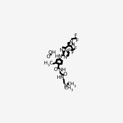 CCc1cc(Nc2nccn3c(-c4cn(CC(F)F)nc4C(F)(F)F)cnc23)ccc1C(=O)NCC(=O)NCCN(C)C.O=CO